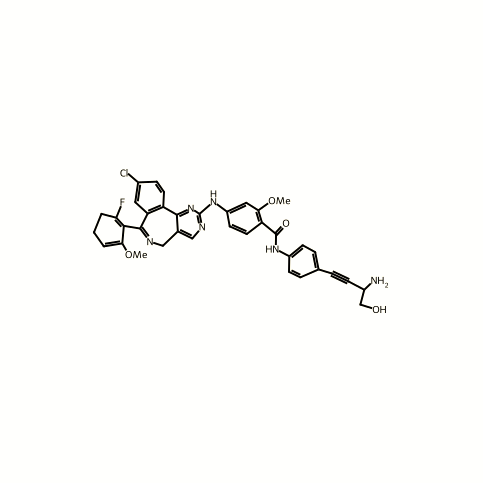 COC1=CCCC(F)=C1C1=NCc2cnc(Nc3ccc(C(=O)Nc4ccc(C#CC(N)CO)cc4)c(OC)c3)nc2-c2ccc(Cl)cc21